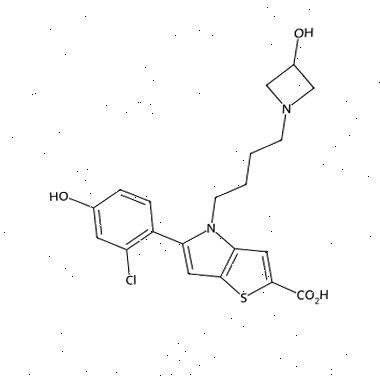 O=C(O)c1cc2c(cc(-c3ccc(O)cc3Cl)n2CCCCN2CC(O)C2)s1